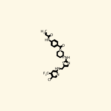 C=CC(=O)Nc1ccc(C(=O)N2CCC[C@@H](Nc3ncc(CNc4cc(C(F)(F)F)c(Cl)cn4)s3)C2)cc1